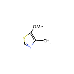 COc1scnc1C